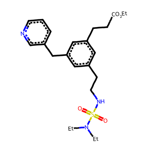 CCOC(=O)CCc1cc(CCNS(=O)(=O)N(CC)CC)cc(Cc2cccnc2)c1